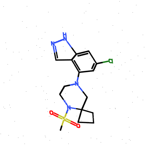 CS(=O)(=O)N1CCN(c2cc(Cl)cc3[nH]ncc23)CC12CCC2